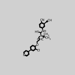 C#Cc1cc(NC(S)N(CCCOc2ccc(-c3ccncc3)cc2Cl)C(C)(C)C=O)ccc1C#N